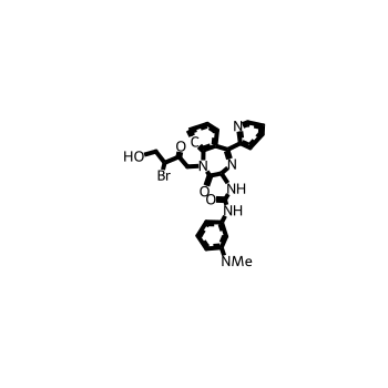 CNc1cccc(NC(=O)NC2N=C(c3ccccn3)c3ccccc3N(CC(=O)C(Br)CO)C2=O)c1